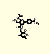 Cc1cc(C)c(CNC(=O)c2cc(-c3ccc(C(=O)O)cc3)nc(NC(C)C)c2C=N)c(=O)[nH]1